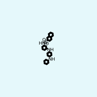 O=S(=O)(Nc1cccc(Nc2ccc(Nc3ccccc3)cc2)c1)c1ccc2ccccc2c1